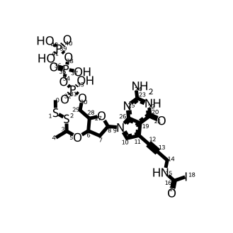 CSSC(C)OC1CC(n2cc(C#CCNC(=O)I)c3c(=O)[nH]c(N)nc32)OC1COP(=O)(O)OP(=O)(O)OP(=O)(O)O